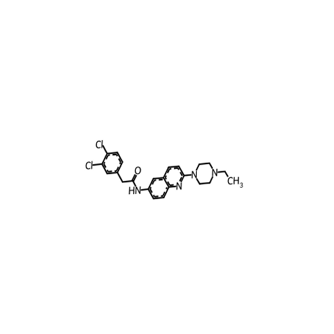 CCN1CCN(c2ccc3cc(NC(=O)Cc4ccc(Cl)c(Cl)c4)ccc3n2)CC1